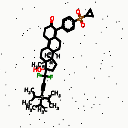 CC(C)[Si](C#CC(F)(F)[C@]1(O)CC[C@H]2[C@@H]3CCC4=C(c5ccc(S(=O)(=O)C6CC6)cc5)C(=O)CCC4=C3CC[C@@]21C)(C(C)C)C(C)C